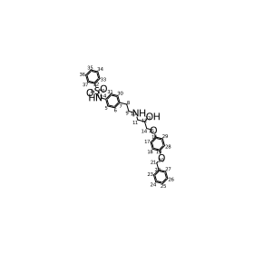 O=S(=O)(Nc1ccc(CCNCC(O)COc2ccc(OCc3ccccc3)cc2)cc1)c1ccccc1